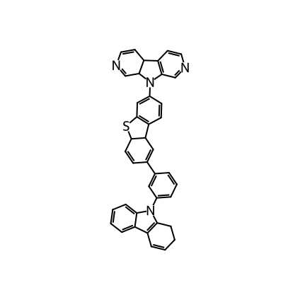 C1=Cc2c(n(-c3cccc(C4=CC5c6ccc(N7c8cnccc8C8C=CN=CC87)cc6SC5C=C4)c3)c3ccccc23)CC1